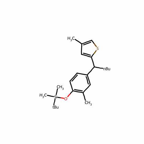 CCCCC(c1ccc(O[Si](C)(C)C(C)(C)C)c(C)c1)c1cc(C)cs1